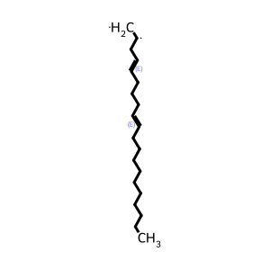 [CH2][CH]C/C=C/CCC/C=C/CCCCCCCCCC